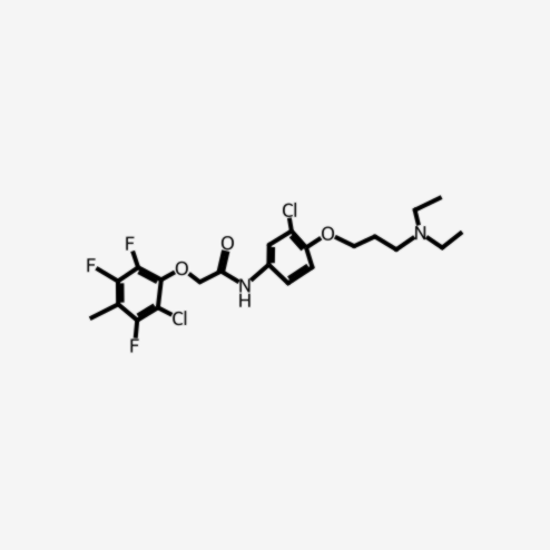 CCN(CC)CCCOc1ccc(NC(=O)COc2c(F)c(F)c(C)c(F)c2Cl)cc1Cl